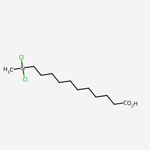 C[Si](Cl)(Cl)CCCCCCCCCCC(=O)O